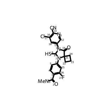 CNC(=O)c1ccc(N2C(S)N(c3cnc(C#N)c(Cl)c3)C(=O)C23CCC3)cc1F